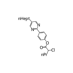 CCCCCCCc1cnc(-c2ccc(OC(=O)C(Cl)CCC)cc2)nc1